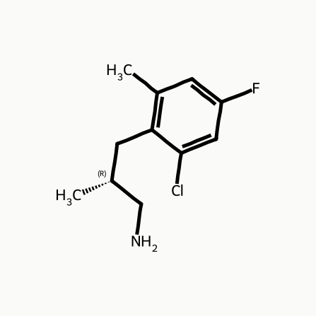 Cc1cc(F)cc(Cl)c1C[C@@H](C)CN